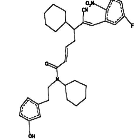 N#CC(=Cc1cc(F)ccc1[N+](=O)[O-])C(CC=CC(=O)N(CCc1cccc(O)c1)C1CCCCC1)C1CCCCC1